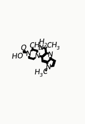 CC1CN(c2cc3c(ccn3C)nc2[C@H](C)N)CCN1C(=O)O